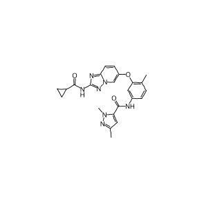 Cc1cc(C(=O)Nc2ccc(C)c(Oc3ccc4nc(NC(=O)C5CC5)nn4c3)c2)n(C)n1